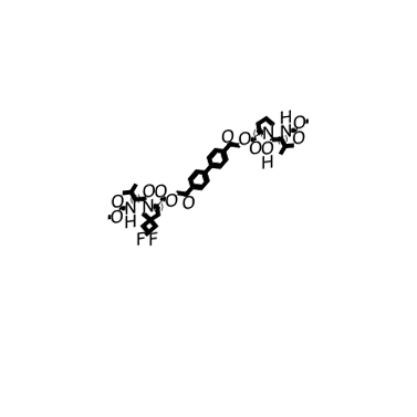 COC(=O)N[C@@H](C(C)C)C(O)N1CCC[C@H]1C(=O)OCC(=O)c1ccc(-c2ccc(C(=O)COC(=O)[C@@H]3CC4(CN3C(=O)[C@@H](NC(=O)OC)C(C)C)CC(F)(F)C4)cc2)cc1